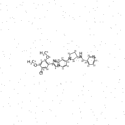 COc1cc(OC)c(-c2cn3ccc(N4CC[C@H](NCc5cccnc5)C4)cc3n2)cc1Cl